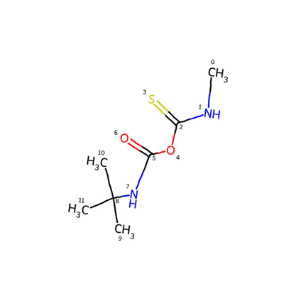 CNC(=S)OC(=O)NC(C)(C)C